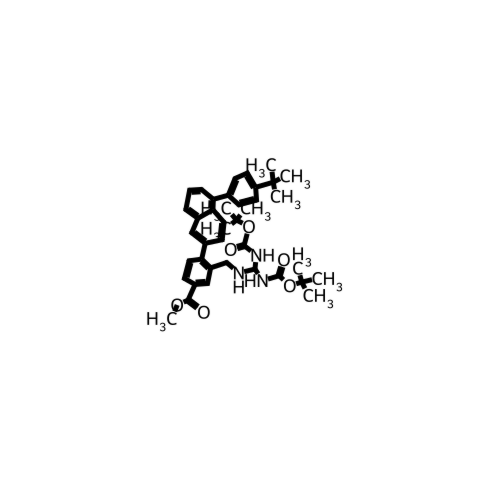 COC(=O)c1ccc(-c2ccc3c(-c4ccc(C(C)(C)C)cc4)cccc3c2)c(CNC(NC(=O)OC(C)(C)C)NC(=O)OC(C)(C)C)c1